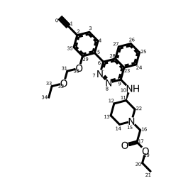 C#Cc1ccc(-c2nnc(N[C@@H]3CCCN(CC(=O)OCC)C3)c3ccccc23)c(OCOCC)c1